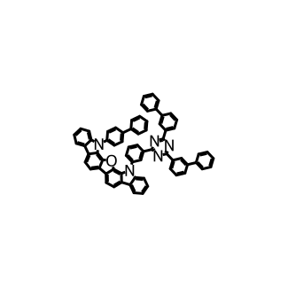 c1ccc(-c2ccc(-n3c4ccccc4c4ccc5c6ccc7c8ccccc8n(-c8cccc(-c9nc(-c%10cccc(-c%11ccccc%11)c%10)nc(-c%10cccc(-c%11ccccc%11)c%10)n9)c8)c7c6oc5c43)cc2)cc1